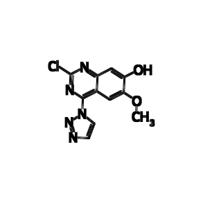 COc1cc2c(-n3ccnn3)nc(Cl)nc2cc1O